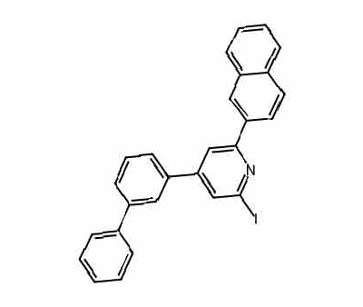 Ic1cc(-c2cccc(-c3ccccc3)c2)cc(-c2ccc3ccccc3c2)n1